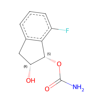 NC(=O)O[C@H]1c2c(F)cccc2C[C@H]1O